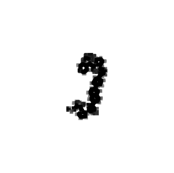 COC(=O)N[C@H](C(=O)N1CCC[C@H]1c1ncc(-c2ccc(-c3ccc4cc(-c5c[nH]c([C@@H]6CCCN6C(=O)[C@@H](N)C(C)C)n5)ccc4c3)cc2)[nH]1)C1CCOCC1